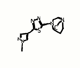 Cn1cc(-c2nnc(N3CCN4CCC3CC4)s2)cn1